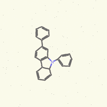 C1=CC2c3ccc(-c4ccccc4)cc3N(c3ccccc3)C2C=C1